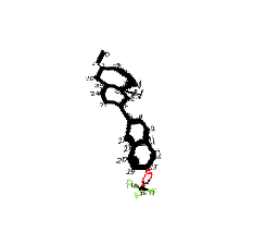 CC[C@@H]1CC[C@@H]2CC(c3ccc4cc(OC(F)(F)F)ccc4c3)CCC2C1